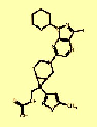 Cc1cc(C2(CNC(=O)O)C3CCN(c4cnc5c(I)nn(C6CCCCO6)c5n4)CC32)no1